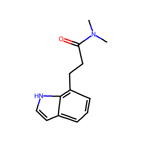 CN(C)C(=O)CCc1cccc2cc[nH]c12